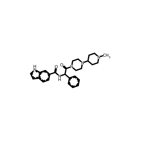 CN1CCC(N2CCN(C(=O)C(NC(=O)c3ccc4cc[nH]c4c3)c3ccccc3)CC2)CC1